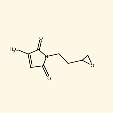 CC1=CC(=O)N(CCC2CO2)C1=O